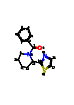 O=C(c1ccccc1)N1CCCCC1c1nccs1